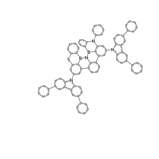 c1ccc(-c2ccc3c(c2)c2cc(-c4ccccc4)ccc2n3-c2cc3c4c(c2)-c2cccc5c2N(B4c2ccccc2S3)B2c3ccccc3N(c3ccccc3)c3cc(-n4c6ccc(-c7ccccc7)cc6c6cc(-c7ccccc7)ccc64)cc-5c32)cc1